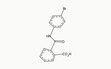 O=C(O)c1ccccc1C(=O)Nc1ccc(Br)cc1